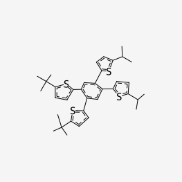 CC(C)c1ccc(-c2cc(-c3ccc(C(C)(C)C)s3)c(-c3ccc(C(C)(C)C)s3)cc2-c2ccc(C(C)C)s2)s1